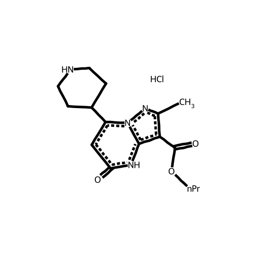 CCCOC(=O)c1c(C)nn2c(C3CCNCC3)cc(=O)[nH]c12.Cl